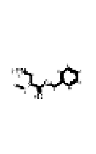 CC[C@H](CN)C(=O)OCc1ccccc1